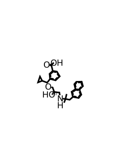 CC(C)(Cc1ccc2ccccc2c1)NC[C@@H](O)COC(c1cccc(C(=O)O)c1)C1CC1